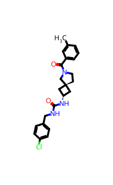 Cc1cccc(C(=O)N2CC[C@]3(C2)C[C@@H](NC(=O)NCc2ccc(Cl)cc2)C3)c1